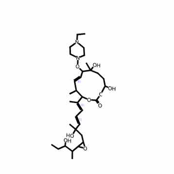 CCC(O)C(C)C1OC1CC(C)(O)/C=C/C=C(\C)C1OC(=O)CC(O)CCC(C)(O)C(ON2CCN(CC)CC2)/C=C/C1C